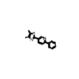 [CH2]c1nc(-c2ccc(-c3ccccc3)nc2)sc1C